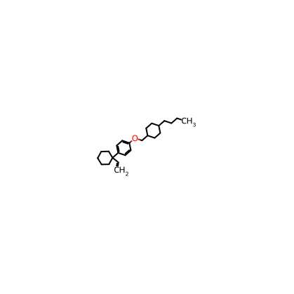 C=CC1(c2ccc(OCC3CCC(CCCC)CC3)cc2)CCCCC1